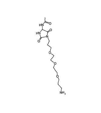 CC(=O)NC1NC(=O)N(CCCOCCOCCOCCCN)C1=O